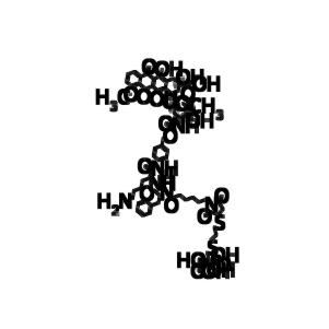 COc1cccc2c1C(=O)c1c(O)c3c(c(O)c1C2=O)C[C@@](O)(C(=O)CO)CC3O[C@H]1C[C@H](NC(=O)OCc2ccc(NC(=O)C(CCCCN)NC(=O)C(Cc3ccccc3)NC(=O)CCCCCN3C(=O)CC(SCCCSCC(P(=O)(O)O)P(=O)(O)O)C3=O)cc2)[C@H](O)[C@H](C)O1